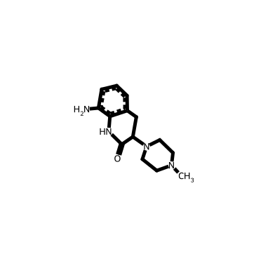 CN1CCN(C2Cc3cccc(N)c3NC2=O)CC1